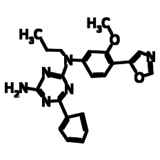 CCCN(c1ccc(-c2cnco2)c(OC)c1)c1nc(N)nc(-c2ccccc2)n1